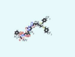 CCCOC(=O)[C@H](C)NP(=O)(OCC1O[C@@H](n2ccc(NC(=O)CC(C)(C)CC[C@H](CCSCc3ccc(C(F)(F)F)cc3)SCc3ccc(C(F)(F)F)cc3)nc2=O)C(C)(CO)[C@H]1O)Oc1ccccc1